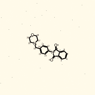 O=C1c2ccccc2C(=O)N1c1ccc(CN2CCOCC2)cc1